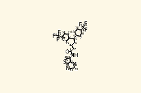 O=C(C=CC=C(c1ccc(C(F)(F)F)cc1)c1ccc(C(F)(F)F)cc1)Nc1csc2nccnc12